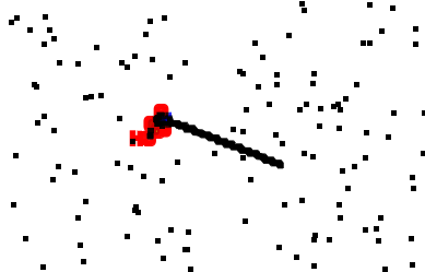 CCCCCCCCCCCCCCCCCCCCCCCCCCCCCCN1C(=O)CC(S(=O)(=O)CCO)C1=O